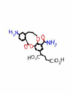 NC(=O)c1cc([C@H](CCC(=O)O)C(=O)O)cc2c1OCCCc1cc(N)ccc1C(=O)O2